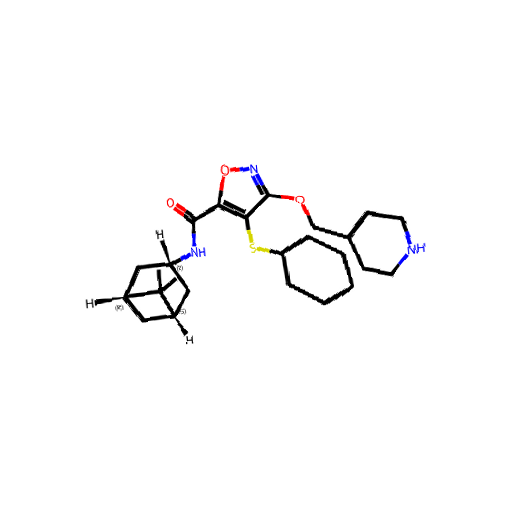 CC1(C)[C@@H]2C[C@@H](NC(=O)c3onc(OCC4CCNCC4)c3SC3CCCCC3)C[C@H]1C2